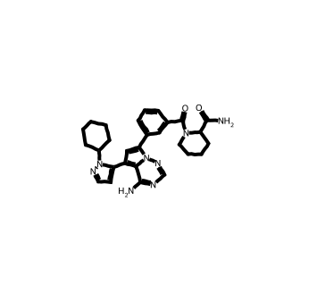 NC(=O)C1CCCCN1C(=O)c1cccc(-c2cc(-c3ccnn3C3CCCCC3)c3c(N)ncnn23)c1